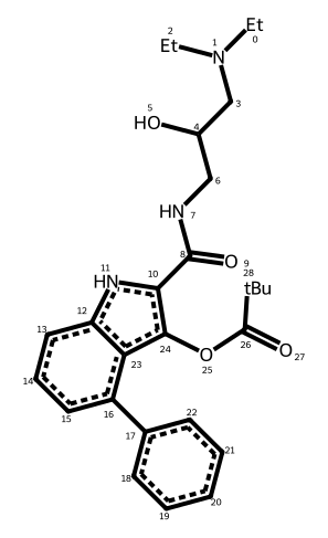 CCN(CC)CC(O)CNC(=O)c1[nH]c2cccc(-c3ccccc3)c2c1OC(=O)C(C)(C)C